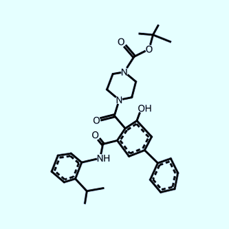 CC(C)c1ccccc1NC(=O)c1cc(-c2ccccc2)cc(O)c1C(=O)N1CCN(C(=O)OC(C)(C)C)CC1